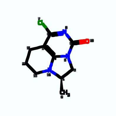 C[C@H]1Cn2c3c(c(Cl)nc2=O)CCCN31